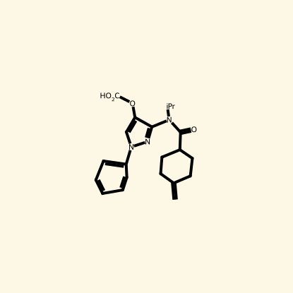 C=C1CCC(C(=O)N(c2nn(-c3ccccc3)cc2OC(=O)O)C(C)C)CC1